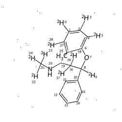 [2H]c1c([2H])c([2H])c(OC([2H])(c2ccccc2)C([2H])([2H])CNC([2H])([2H])[2H])c(C)c1[2H]